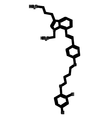 O=C(O)CCCc1cn(CC(=O)O)c2c(C=Cc3ccc(OCCCCOc4ccc(Cl)cc4Cl)cc3)cccc12